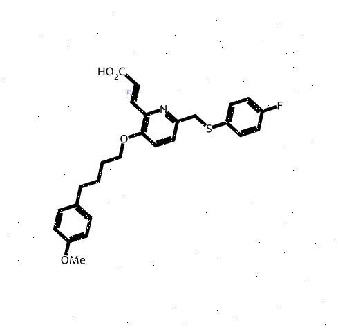 COc1ccc(CCCCOc2ccc(CSc3ccc(F)cc3)nc2/C=C/C(=O)O)cc1